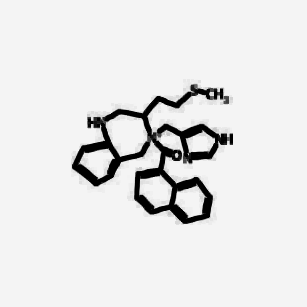 CSCCC1CNc2ccccc2C[N+]1(Cc1c[nH]cn1)C(=O)c1cccc2ccccc12